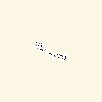 CCCC(OC(=O)CCCCCNC(=O)C1CCC(CN2C(=O)C=CC2=O)CC1)OC(=O)ON1C(=O)CCC1=O